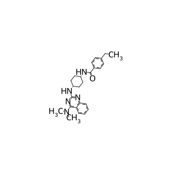 CCc1ccc(C(=O)N[C@H]2CC[C@@H](Nc3nc(N(C)C)c4ccccc4n3)CC2)cc1